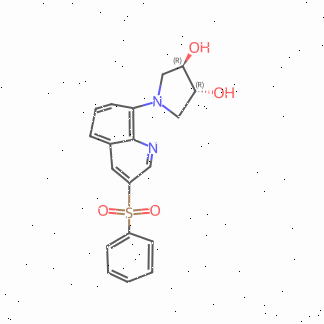 O=S(=O)(c1ccccc1)c1cnc2c(N3C[C@@H](O)[C@H](O)C3)cccc2c1